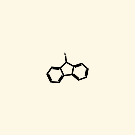 [K][CH]1c2ccccc2-c2ccccc21